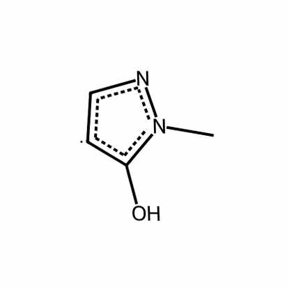 Cn1nc[c]c1O